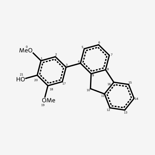 COc1cc(-c2cccc3c2Cc2ccccc2-3)cc(OC)c1O